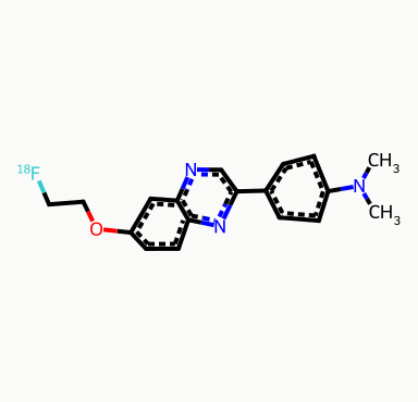 CN(C)c1ccc(-c2cnc3cc(OCC[18F])ccc3n2)cc1